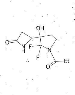 CCC(=O)N1CCC(O)(C2CC(=O)N2)C1(F)F